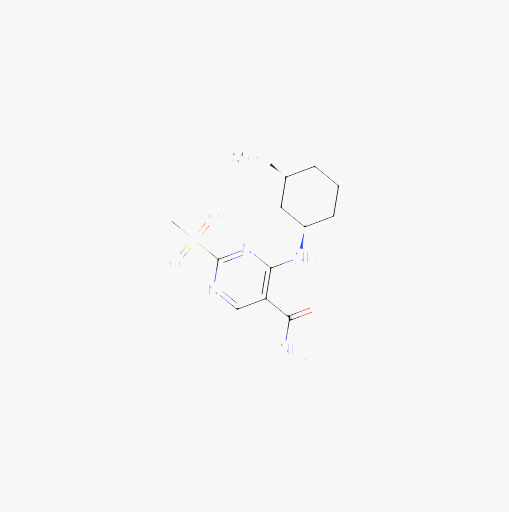 CO[C@H]1CCC[C@@H](Nc2nc(S(C)(=O)=O)ncc2C(N)=O)C1